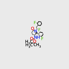 CC(C)(C)OC(=O)NC1CCC(=O)N(CCc2ccccc2F)[C@@H]1C1CC(F)=CC=C1F